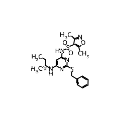 CC[C@@H](C)Nc1cc(NS(=O)(=O)c2c(C)noc2C)nc(SCc2ccccc2)n1